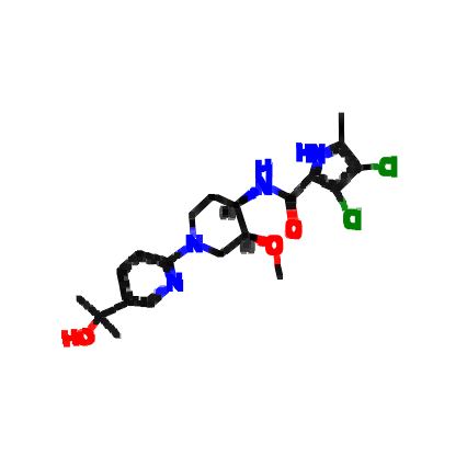 CO[C@H]1CN(c2ccc(C(C)(C)O)cn2)CC[C@H]1NC(=O)c1[nH]c(C)c(Cl)c1Cl